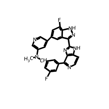 CN(C)c1cncc(-c2cc(F)c3[nH]nc(-c4nc5c(-c6cccc(F)c6)nccc5[nH]4)c3c2)c1